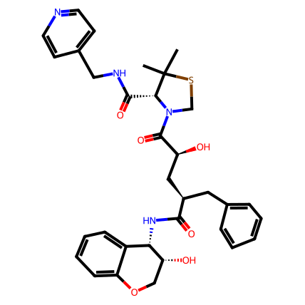 CC1(C)SCN(C(=O)[C@@H](O)C[C@@H](Cc2ccccc2)C(=O)N[C@H]2c3ccccc3OC[C@H]2O)[C@@H]1C(=O)NCc1ccncc1